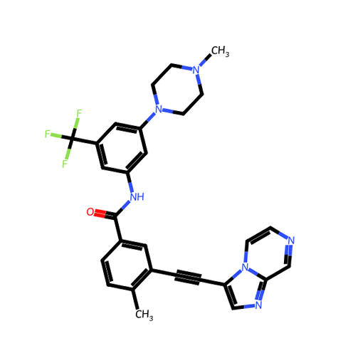 Cc1ccc(C(=O)Nc2cc(N3CCN(C)CC3)cc(C(F)(F)F)c2)cc1C#Cc1cnc2cnccn12